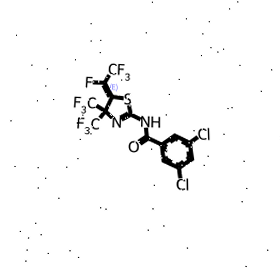 O=C(NC1=NC(C(F)(F)F)(C(F)(F)F)/C(=C(\F)C(F)(F)F)S1)c1cc(Cl)cc(Cl)c1